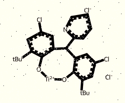 CC(C)(C)c1cc(Cl)cc2c1[O][Ti+2][O]c1c(cc(Cl)cc1C(C)(C)C)C2c1ccccn1.[Cl-].[Cl-]